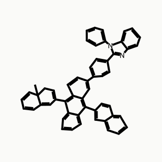 CC12C=CC=CC1=CC(c1c3ccccc3c(-c3ccc4ccccc4c3)c3cc(-c4ccc(-c5nc6ccccc6n5-c5ccccc5)cc4)ccc13)=CC2